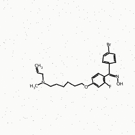 C=CCN(C)CCCCCCOc1ccc(/C(=N\O)c2ccc(Br)cc2)c(F)c1